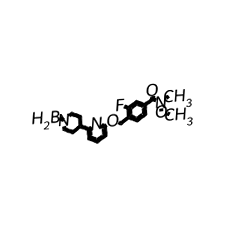 BN1CCC(c2cccc(OCc3ccc(C(=O)N(C)OC)cc3F)n2)CC1